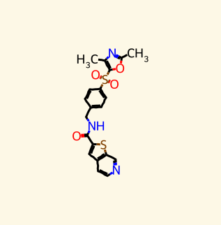 Cc1nc(C)c(S(=O)(=O)c2ccc(CNC(=O)c3cc4ccncc4s3)cc2)o1